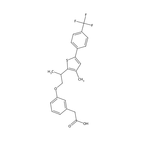 Cc1cc(-c2ccc(C(F)(F)F)cc2)sc1C(C)COc1cccc(CC(=O)O)c1